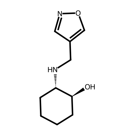 O[C@H]1CCCC[C@@H]1NCc1cnoc1